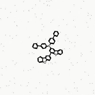 c1ccc(-c2ccc(N(c3ccc(-c4ccccc4)cc3)c3cc(-c4ccc5oc6ccccc6c5c4)c4sc5ccccc5c4c3)cc2)cc1